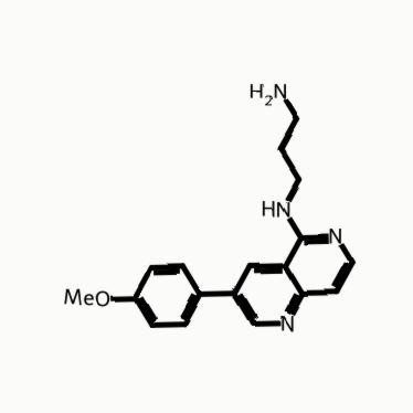 COc1ccc(-c2cnc3ccnc(NCCCN)c3c2)cc1